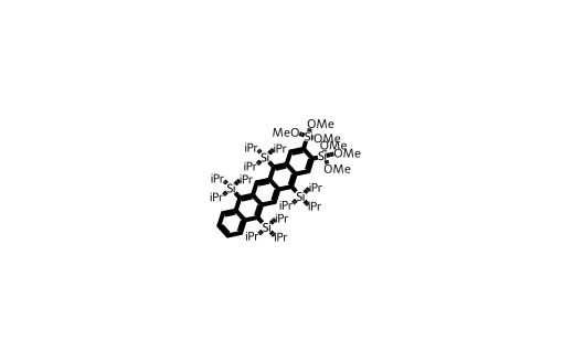 CO[Si](OC)(OC)c1cc2c([Si](C(C)C)(C(C)C)C(C)C)c3cc4c([Si](C(C)C)(C(C)C)C(C)C)c5ccccc5c([Si](C(C)C)(C(C)C)C(C)C)c4cc3c([Si](C(C)C)(C(C)C)C(C)C)c2cc1[Si](OC)(OC)OC